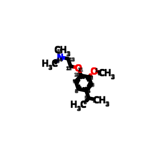 COc1cc(C(C)C)ccc1OCCN(C)C